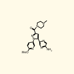 COc1ccc(-n2nc(C(=O)N3CCN(C)CC3)cc2-c2cnc(N)cn2)cn1